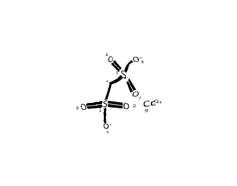 O=S(=O)([O-])CS(=O)(=O)[O-].[Cd+2]